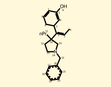 C/C=C(\C1C=C(O)C=CC1)C1(CCC)CCN(Cc2ccccc2)C1